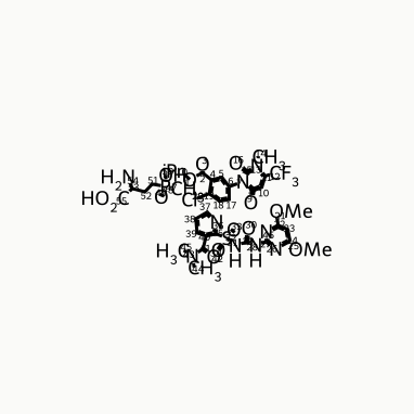 CC(C)OC(=O)c1cc(-n2c(=O)cc(C(F)(F)F)n(C)c2=O)ccc1Cl.COc1cc(OC)nc(NC(=O)NS(=O)(=O)c2ncccc2C(=O)N(C)C)n1.CP(=O)(O)CCC(N)C(=O)O